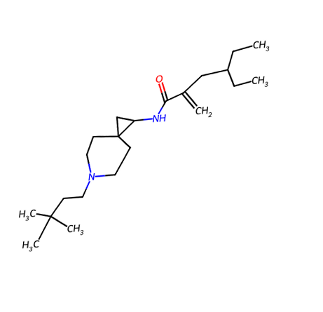 C=C(CC(CC)CC)C(=O)NC1CC12CCN(CCC(C)(C)C)CC2